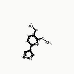 COc1nc(-c2cn[nH]c2)ccc1CO